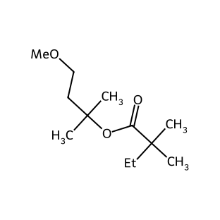 CCC(C)(C)C(=O)OC(C)(C)CCOC